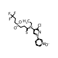 CCN(C(=S)CCS(=O)(=O)CCC(F)(F)F)c1cn(-c2ccc[n+]([O-])c2)nc1Cl